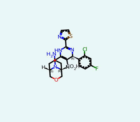 NC1C[C@H]2COC[C@@H](C1)N2CC1=C(C(=O)O)[C@H](c2ccc(F)cc2Cl)N=C(c2nccs2)N1